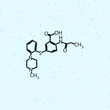 CCC(=O)Nc1ccc(Sc2ccccc2N2CCN(C)CC2)cc1C(=O)O